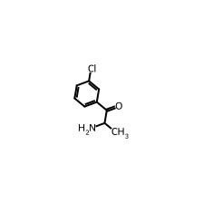 CC(N)C(=O)c1cccc(Cl)c1